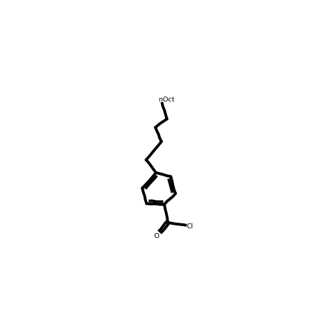 CCCCCCCCCCCCc1ccc(C(=O)Cl)cc1